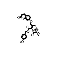 COc1ccc(COC(=O)C2=C(COc3ccc4ccc(=O)oc4c3)CS[C@@H]3[C@@H](OC)C(=O)N23)cc1